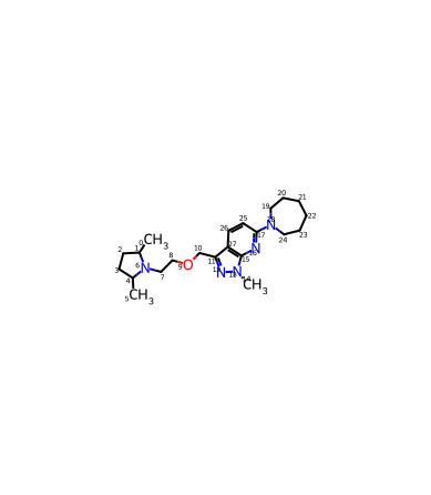 CC1CCC(C)N1CCOCc1nn(C)c2nc(N3CCCCCC3)ccc12